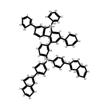 c1ccc(-c2ccc3c4c(-c5cccc(N(c6ccc(-c7ccc8ccccc8c7)cc6)c6ccc(-c7ccc8ccccc8c7)cc6)c5)cc(-c5ccccc5)cc4n(-c4ccccc4)c3c2)cc1